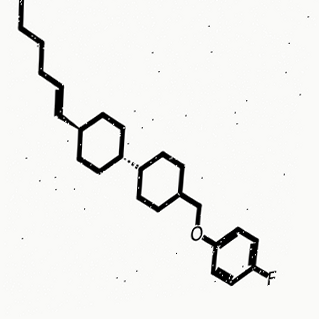 CCCC/C=C/[C@H]1CC[C@H](C2CCC(COc3ccc(F)cc3)CC2)CC1